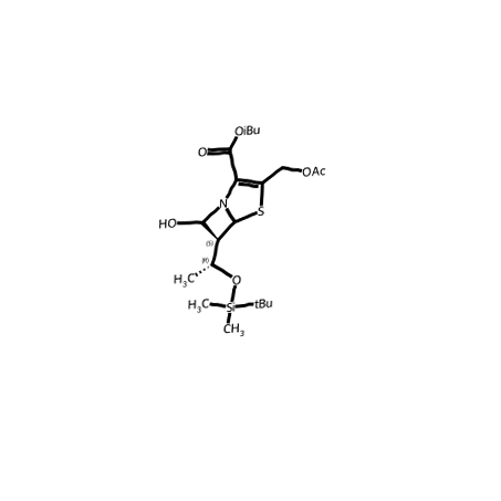 CC(=O)OCC1=C(C(=O)OCC(C)C)N2C(O)[C@H]([C@@H](C)O[Si](C)(C)C(C)(C)C)C2S1